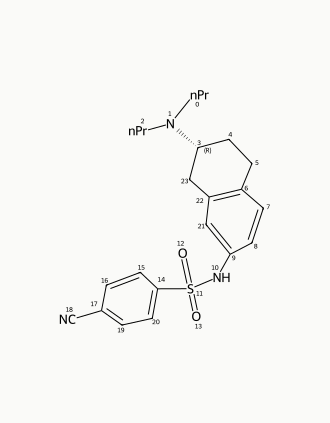 CCCN(CCC)[C@@H]1CCc2ccc(NS(=O)(=O)c3ccc(C#N)cc3)cc2C1